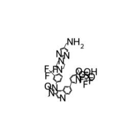 COc1ccc(-c2ccc3ncc4c(c3c2)n(-c2ccc(N3CCN(c5ncc(CN)cn5)CC3)c(C(F)(F)F)c2)c(=O)n4C)cn1.O=S(=O)(O)C(F)(F)F